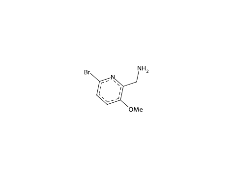 COc1ccc(Br)nc1CN